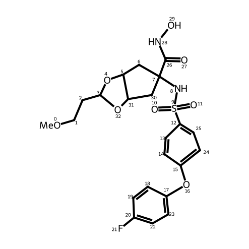 COCCC1OC2CC(NS(=O)(=O)c3ccc(Oc4ccc(F)cc4)cc3)(C(=O)NO)CC2O1